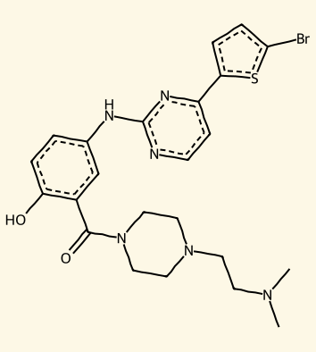 CN(C)CCN1CCN(C(=O)c2cc(Nc3nccc(-c4ccc(Br)s4)n3)ccc2O)CC1